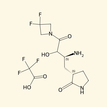 N[C@@H](C[C@@H]1CCNC1=O)C(O)C(=O)N1CC(F)(F)C1.O=C(O)C(F)(F)F